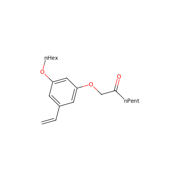 C=Cc1cc(OCCCCCC)cc(OCC(=O)CCCCC)c1